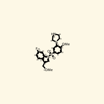 COCc1cn(S(=O)(=O)c2ccc(OC)c(N3CCNCC3)c2)c2cc(F)ccc12